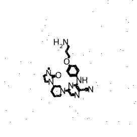 CN1CCN([C@H]2CCCN(c3cnc(C#N)c(Nc4ccc(OCCCN)cc4)n3)C2)C1=O